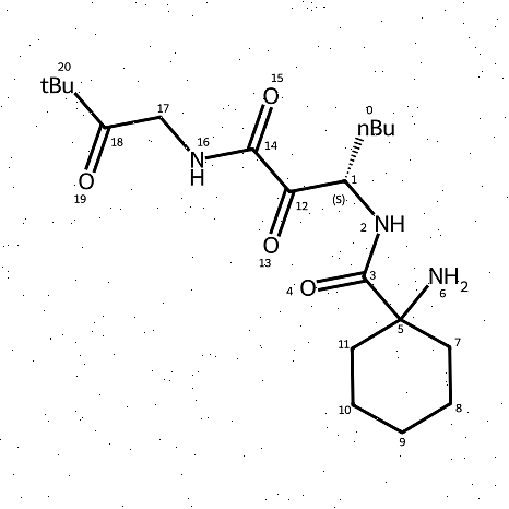 CCCC[C@H](NC(=O)C1(N)CCCCC1)C(=O)C(=O)NCC(=O)C(C)(C)C